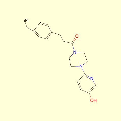 CC(C)Cc1ccc(CCC(=O)N2CCN(c3ccc(O)cn3)CC2)cc1